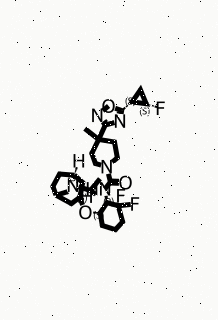 CC(C)N1CC2CC[C@H]1C[C@@H](O[C@H]1CCCC(F)(F)[C@@H]1NC(=O)N1CCC(C)(c3noc([C@@H]4C[C@@H]4F)n3)CC1)C2